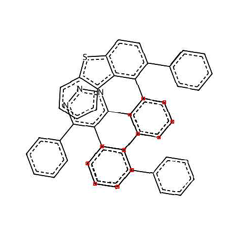 c1ccc(-c2ccccc2-c2cccc(-c3c(-c4ccccc4)ccc4sc5ccccc5c34)c2-c2nnnc(-c3ccccc3)c2-c2ccccc2-c2ccccc2)cc1